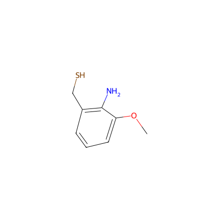 COc1cccc(CS)c1N